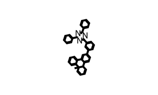 CC12C=CC=CC1c1ccc(-c3cccc(-c4nc(-c5ccccc5)nc(-c5ccccc5)n4)c3)cc1-c1ccccc12